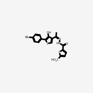 C/C(=N/NC(=O)c1ccc(C(=O)O)s1)c1csc(-c2ccc(C(C)(C)C)cc2)c1O